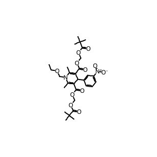 CCOCN1C(C)=C(C(=O)OCOC(=O)C(C)(C)C)C(c2cccc([N+](=O)[O-])c2)C(C(=O)OCOC(=O)C(C)(C)C)=C1C